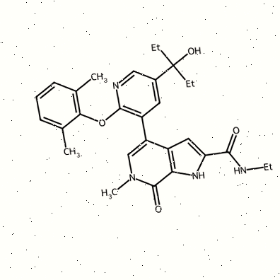 CCNC(=O)c1cc2c(-c3cc(C(O)(CC)CC)cnc3Oc3c(C)cccc3C)cn(C)c(=O)c2[nH]1